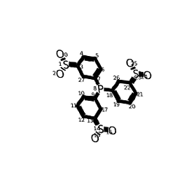 O=S(=O)=C1C=CC=C(P(C2=CC=CC(=S(=O)=O)C2)C2=CC=CC(=S(=O)=O)C2)C1